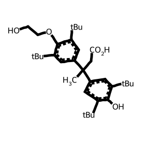 CC(C)(C)c1cc(C(C)(CC(=O)O)c2cc(C(C)(C)C)c(OCCO)c(C(C)(C)C)c2)cc(C(C)(C)C)c1O